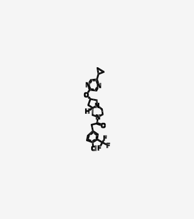 O=C(Cc1ccc(Cl)c(C(F)(F)F)c1)N1CCN2C[C@H](Oc3cnc(C4CC4)cn3)C[C@H]2C1